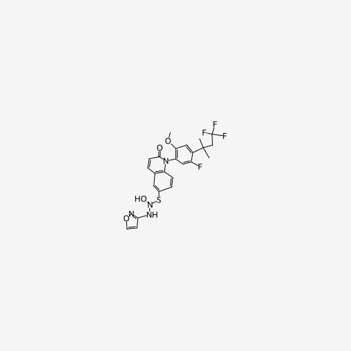 COc1cc(C(C)(C)CC(F)(F)F)c(F)cc1-n1c(=O)ccc2cc(SN(O)Nc3ccon3)ccc21